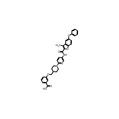 Cc1c(C(=O)Nc2ccc(N3CCC(COc4cccc(C(=O)O)c4)CC3)nc2)oc2ccc(Oc3ccccc3)cc12